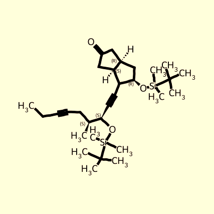 CCC#CC[C@H](C)[C@@H](C#CC1[C@H]2CC(=O)C[C@H]2C[C@H]1O[Si](C)(C)C(C)(C)C)O[Si](C)(C)C(C)(C)C